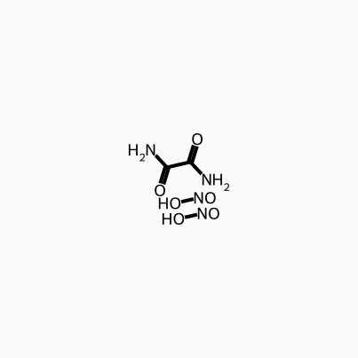 NC(=O)C(N)=O.O=NO.O=NO